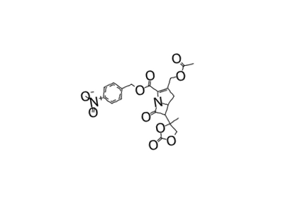 CC(=O)OCC1=C(C(=O)OCc2ccc([N+](=O)[O-])cc2)N2C(=O)C(C3(C)COC(=O)O3)C2C1